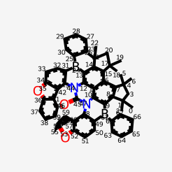 CC1(C)CC(C)(C)c2c1c1c3c4c5c(c6c(c24)C(C)(C)CC6(C)C)B(c2ccccc2)c2ccc4oc6ccccc6c4c2N5C(=O)N3c2c(ccc3oc4ccccc4c23)B1c1ccccc1